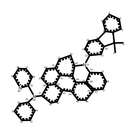 CC1(C)c2ccccc2-c2ccc(N(c3ccccc3)c3ccc4ccc5c(N(c6ccccc6)c6ccccn6)ccc6c7ccccc7c3c4c56)cc21